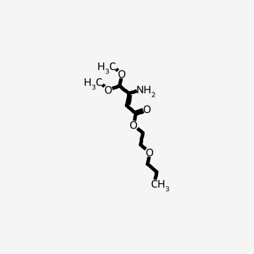 CCCOCCOC(=O)/C=C(\N)C(OC)OC